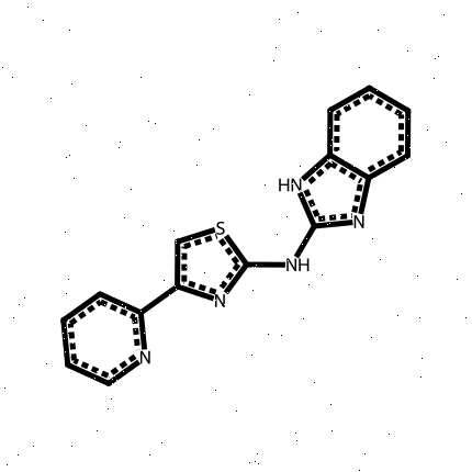 c1ccc(-c2csc(Nc3nc4ccccc4[nH]3)n2)nc1